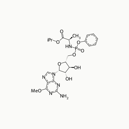 COc1nc(N)nc2c1ncn2[C@@H]1O[C@H](COP(=O)(N[C@H](C)C(=O)OC(C)C)Oc2ccccc2)[C@@H](O)[C@@H]1O